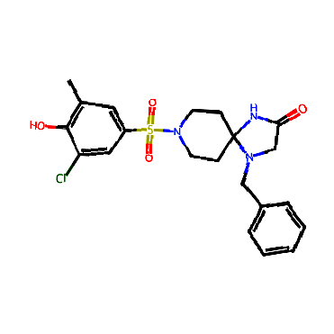 Cc1cc(S(=O)(=O)N2CCC3(CC2)NC(=O)CN3Cc2ccccc2)cc(Cl)c1O